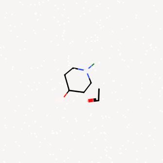 CC=O.OC1CCN(Cl)CC1